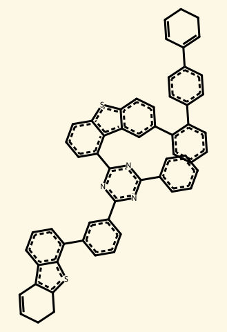 C1=CC(c2ccc(-c3ccccc3-c3ccc4sc5cccc(-c6nc(-c7ccccc7)nc(-c7cccc(-c8cccc9c%10c(sc89)CCC=C%10)c7)n6)c5c4c3)cc2)=CCC1